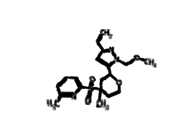 C=Cc1cc(C2CC(C)(S(=O)(=O)c3cccc(C)n3)CCO2)n(COC)n1